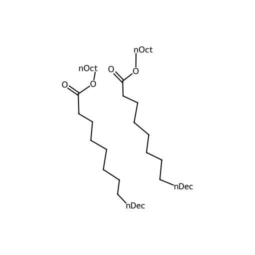 CCCCCCCCCCCCCCCCCC(=O)OCCCCCCCC.CCCCCCCCCCCCCCCCCC(=O)OCCCCCCCC